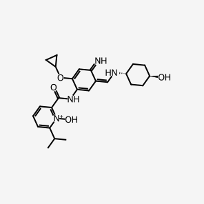 CC(C)c1cccc(C(=O)NC2=C/C(=C/N[C@H]3CC[C@H](O)CC3)C(=N)C=C2OC2CC2)[n+]1O